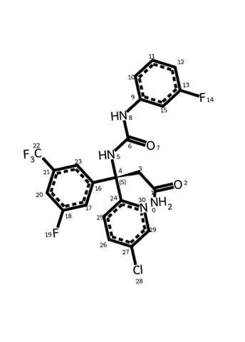 NC(=O)C[C@](NC(=O)Nc1cccc(F)c1)(c1cc(F)cc(C(F)(F)F)c1)c1ccc(Cl)cn1